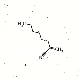 C=C(C#N)CCCCCC